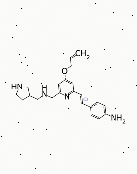 C=CCOc1cc(/C=C/c2ccc(N)cc2)nc(CNCC2CCNC2)c1